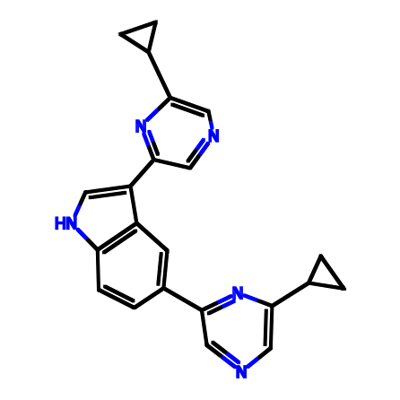 c1cc2[nH]cc(-c3cncc(C4CC4)n3)c2cc1-c1cncc(C2CC2)n1